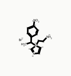 CC(c1ccc([N+](=O)[O-])cc1)[N+]1(CCN)C=CN=C1.[Br-]